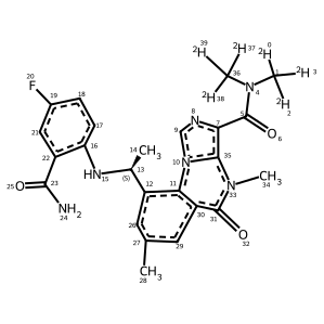 [2H]C([2H])([2H])N(C(=O)c1ncn2c3c([C@H](C)Nc4ccc(F)cc4C(N)=O)cc(C)cc3c(=O)n(C)c12)C([2H])([2H])[2H]